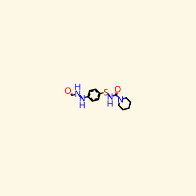 O=CNNc1ccc(SNC(=O)N2CCCCC2)cc1